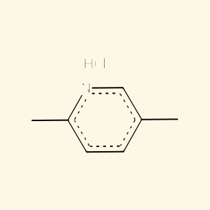 Cc1ccc(C)nc1.Cl